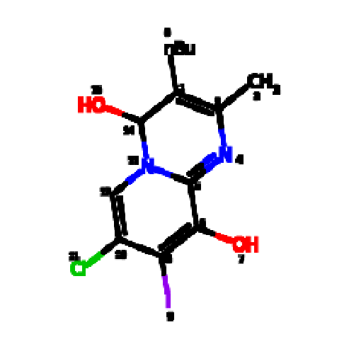 CCCCC1=C(C)N=C2C(O)=C(I)C(Cl)=CN2C1O